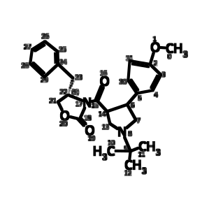 COc1ccc(C2CN(C(C)(C)C)CC2C(=O)N2C(=O)OC[C@@H]2Cc2ccccc2)cc1